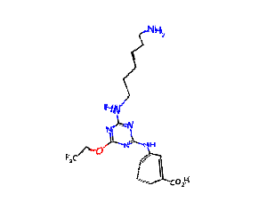 NCCCCCCNc1nc(Nc2cccc(C(=O)O)c2)nc(OCC(F)(F)F)n1